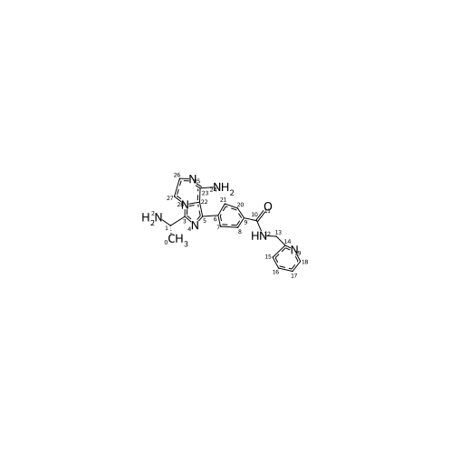 C[C@H](N)c1nc(-c2ccc(C(=O)NCc3ccccn3)cc2)c2c(N)nccn12